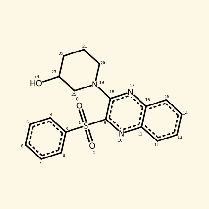 O=S(=O)(c1ccccc1)c1nc2ccccc2nc1N1CCCC(O)C1